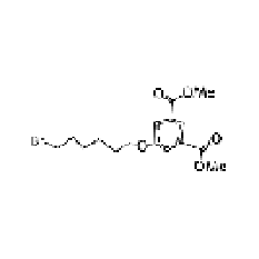 COC(=O)c1cc(OCCCCCCBr)cc(C(=O)OC)c1